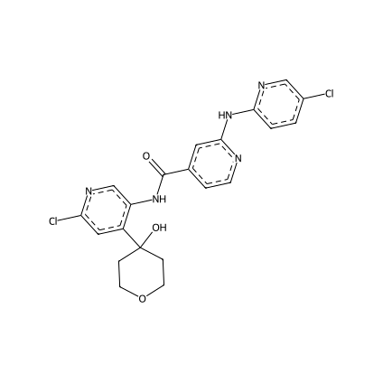 O=C(Nc1cnc(Cl)cc1C1(O)CCOCC1)c1ccnc(Nc2ccc(Cl)cn2)c1